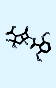 COc1cccc(OC)c1C(=O)N[C@H]1C(=O)N2[C@@H]1CC(C)(C)[C@H]2C(=O)O